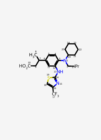 CC(C)CN(c1ccc(C(C)CC(=O)O)cc1Nc1nc(C(F)(F)F)cs1)C1CCCCC1